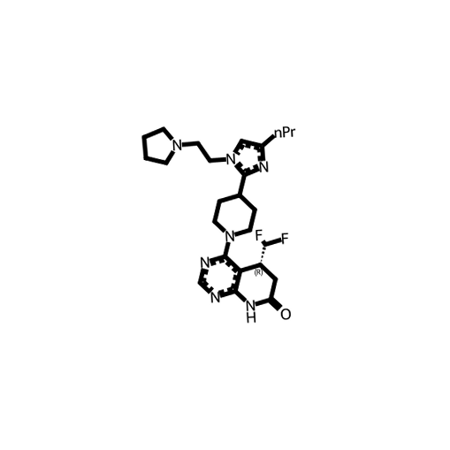 CCCc1cn(CCN2CCCC2)c(C2CCN(c3ncnc4c3[C@H](C(F)F)CC(=O)N4)CC2)n1